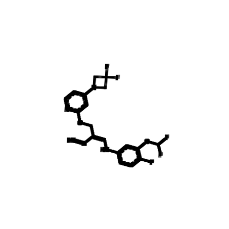 N=N/C(=C\Nc1ccc(F)c(OC(F)F)c1)COc1cc(N2CC(F)(F)C2)ccn1